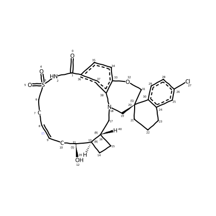 O=C1NS(=O)(=O)CC/C=C\C[C@H](O)[C@@H]2CC[C@H]2CN2C[C@@]3(CCCc4cc(Cl)ccc43)COc3ccc1cc32